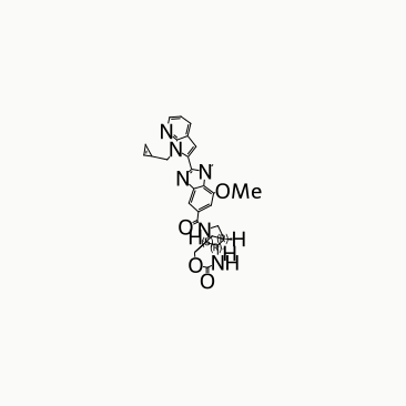 COc1cc(C(=O)N2C[C@H]3CC4OC(=O)N[C@H]3[C@@H]42)cc2nc(-c3cc4cccnc4n3CC3C=C3)n(C)c12